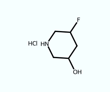 Cl.OC1CNCC(F)C1